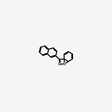 C1=CC2N3N=C(c4ccc5ccccc5c4)C23C=C1